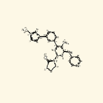 COc1c(Nc2ccncc2)nc(N2CCCC2=O)nc1-c1cccc(-c2ccn(C)n2)c1